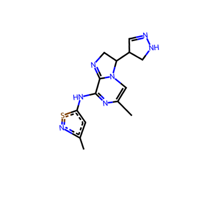 CC1=CN2C(=NCC2C2C=NNC2)C(Nc2cc(C)ns2)=N1